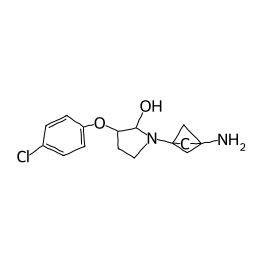 NC12CC(N3CCC(Oc4ccc(Cl)cc4)C3O)(C1)C2